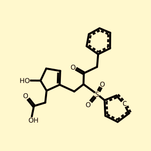 O=C(O)CC1C(CC(C(=O)Cc2ccccc2)S(=O)(=O)c2ccccc2)=CCC1O